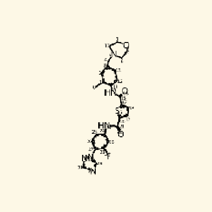 Cc1cc(CN2CCOCC2)ccc1NC(=O)c1ccc(C(=O)Nc2ccc(-n3cncn3)c(F)c2)s1